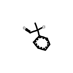 CC(Cl)([C]=O)c1ccccc1